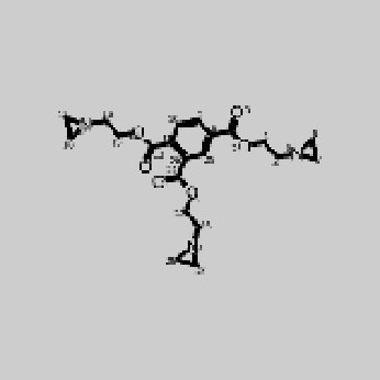 O=C(OCCN1CC1)c1ccc(C(=O)OCCN2CC2)c(C(=O)OCCN2CC2)c1